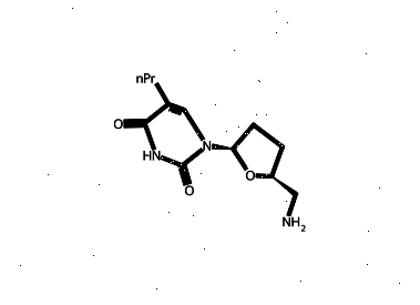 CCCc1cn([C@H]2CC[C@@H](CN)O2)c(=O)[nH]c1=O